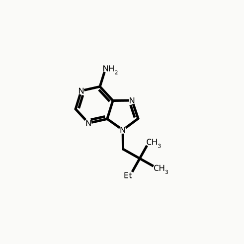 CCC(C)(C)Cn1cnc2c(N)ncnc21